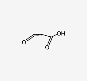 O=C=CC(=O)O